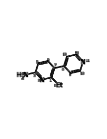 CCc1nc(N)ccc1-c1ccncc1